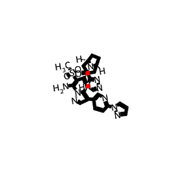 CS(=O)(=O)c1c([C@@H]2C[C@H]3CC[C@@H](C2)N3C(=O)c2nnc[nH]2)nc2c(-c3ccc(-n4cccn4)nc3)cnn2c1N